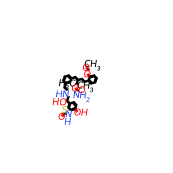 COCOc1ccccc1CCC(Cc1cccc(CCNCC(O)c2ccc(O)c3[nH]c(=O)sc23)c1)C(C)(C)OC(N)=O